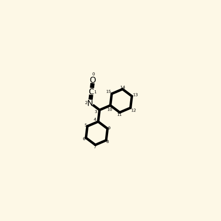 O=C=NC(C1CCCCC1)C1CCCCC1